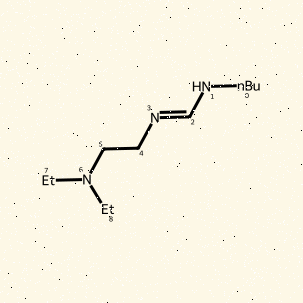 CCCCN/C=N/CCN(CC)CC